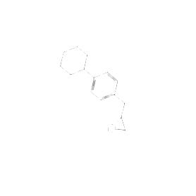 [CH](c1ccc(C2CCCCC2)cc1)C1CO1